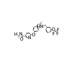 CC(Cc1ccc(Oc2ccc(C(N)=O)cn2)cc1)NCc1cccc(OC(F)(F)F)c1